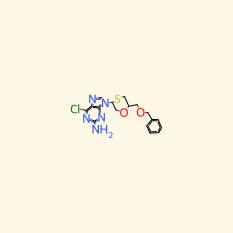 Nc1nc(Cl)c2ncn(C3COC(COCc4ccccc4)CS3)c2n1